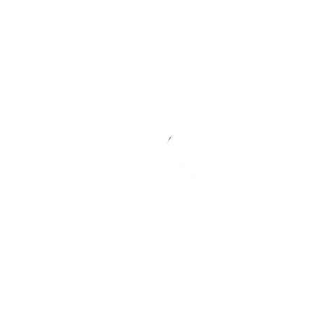 CC1CCOC1[C@H](C)CO